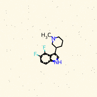 CN1CCCC(c2c[nH]c3ccc(F)c(F)c23)C1